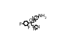 NN1C=NN(CC(O)(Cn2cncn2)c2ccc(F)cc2F)C1